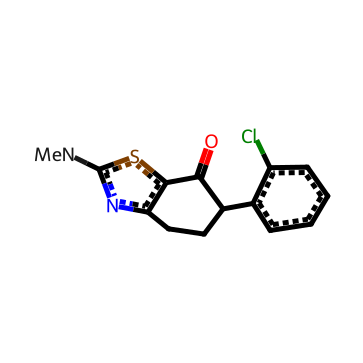 CNc1nc2c(s1)C(=O)C(c1ccccc1Cl)CC2